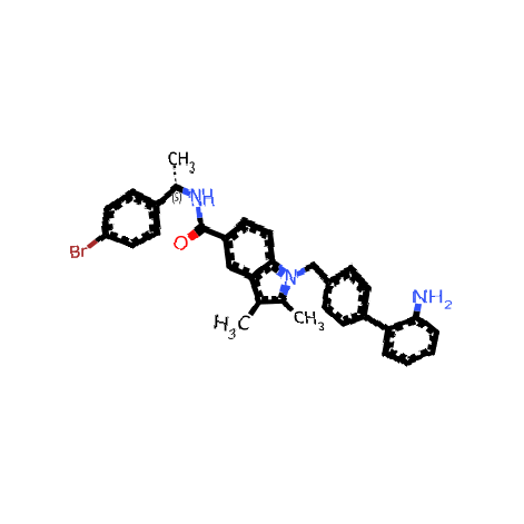 Cc1c(C)n(Cc2ccc(-c3ccccc3N)cc2)c2ccc(C(=O)N[C@@H](C)c3ccc(Br)cc3)cc12